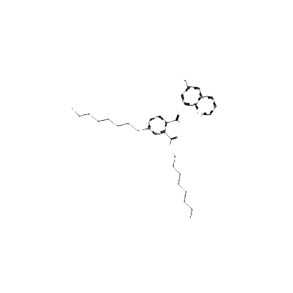 CCCCCCCCOC(=O)c1cc(CCCCCCCC)ccc1C(=O)O.Clc1ccc2ncccc2c1